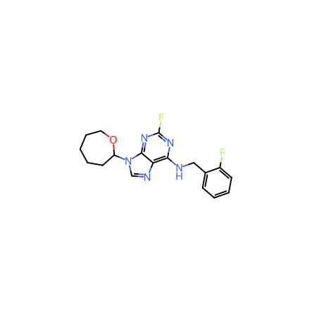 Fc1nc(NCc2ccccc2F)c2ncn(C3CCCCCO3)c2n1